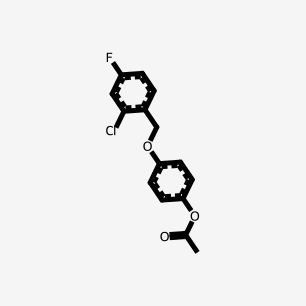 CC(=O)Oc1ccc(OCc2ccc(F)cc2Cl)cc1